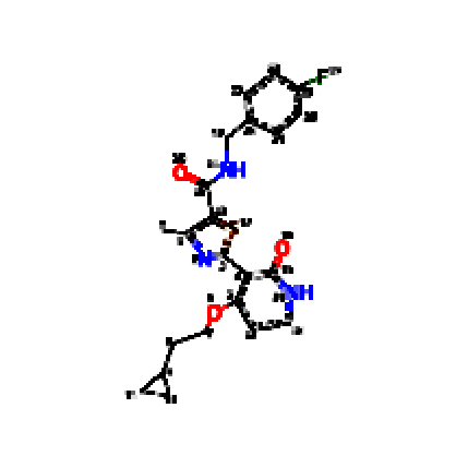 Cc1nc(-c2c(OCCC3CC3)cc[nH]c2=O)sc1C(=O)NCc1ccc(F)cc1